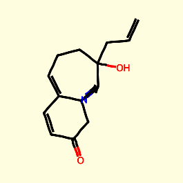 C=CCC1(O)CCC=C2C=CC(=O)CC23CN=CC=C13